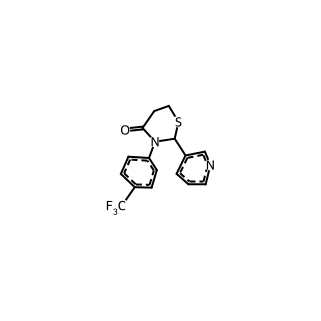 O=C1CCSC(c2cccnc2)N1c1ccc(C(F)(F)F)cc1